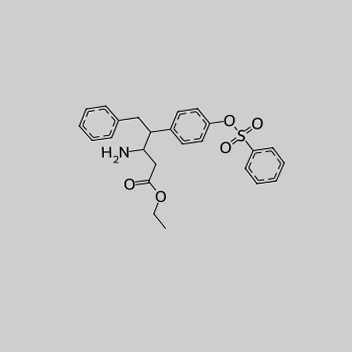 CCOC(=O)CC(N)C(Cc1ccccc1)c1ccc(OS(=O)(=O)c2ccccc2)cc1